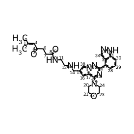 CC(C)=CC(=O)CCC(=O)NCCNCc1cc2c(N3CCOCC3)nc(-c3cccc4[nH]ncc34)nn2c1